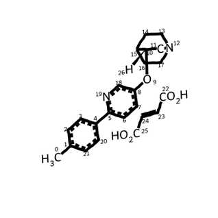 Cc1ccc(-c2ccc(O[C@H]3CN4CCC3CC4)cn2)cc1.O=C(O)/C=C/C(=O)O